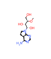 CO[C@H](CO)[C@@H](O)[C@H](O)n1ccc2c(N)ncnc21